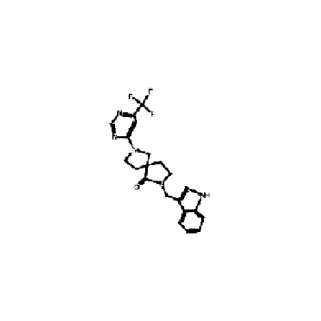 O=C1N(Cc2c[nH]c3ccccc23)CCC12CCN(c1cc(C(F)(F)F)ncn1)C2